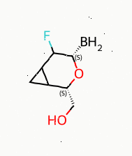 B[C@@H]1O[C@H](CO)C2CC2C1F